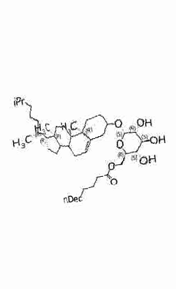 CCCCCCCCCCCCCC(=O)OC[C@H]1O[C@H](OC2CC[C@@]3(C)C(=CCC4C3CC[C@@]3(C)C4CC[C@@H]3[C@H](C)CCCC(C)C)C2)[C@H](O)[C@@H](O)[C@@H]1O